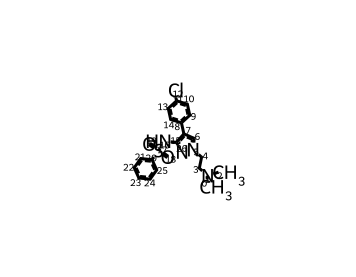 CN(C)CCn1cc(-c2ccc(Cl)cc2)c(NS(=O)(=O)c2ccccc2)n1